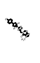 Cn1cnc2ncn(Cc3nc([C@@H]4[C@H]5C=C(c6ccc(Cl)cc6)C[C@H]54)no3)c(=O)c21